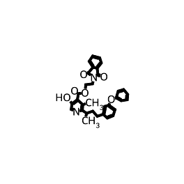 Cc1c(C(C)CCc2cccc(Oc3ccccc3)c2)ncc(O)c1C(=O)OCCN1C(=O)c2ccccc2C1=O